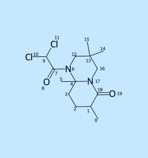 CC1CCC2(C)N(C(=O)C(Cl)Cl)CC(C)(C)CN2C1=O